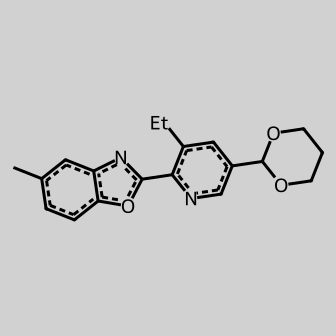 CCc1cc(C2OCCCO2)cnc1-c1nc2cc(C)ccc2o1